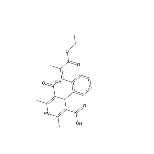 CCOC(=O)C(C)=Cc1ccccc1C1C(C(=O)O)=C(C)NC(C)=C1C(=O)O